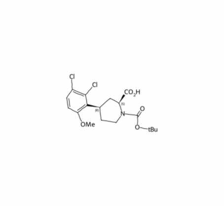 COc1ccc(Cl)c(Cl)c1[C@@H]1CCN(C(=O)OC(C)(C)C)[C@H](C(=O)O)C1